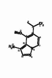 COc1c(C(C)C(F)(F)F)ccn2ncc(N)c12